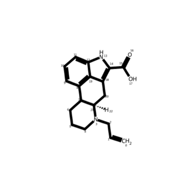 C=CCN1CCCC2c3cccc4[nH]c(C(=O)O)c(c34)C[C@H]21